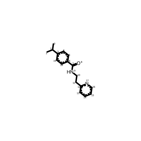 CC(C)c1ccc(C(=O)NCCc2ccccn2)cc1